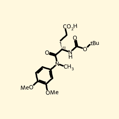 COc1ccc(N(C)C(=O)[C@H](CCC(=O)O)NC(=O)OC(C)(C)C)cc1OC